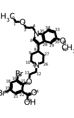 CCOCCn1cc(C2CCN(CCOc3c(Br)cc(Br)cc3C(=O)O)CC2)c2cc(OC)ccc21